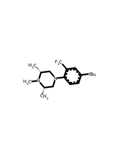 C[C@@H]1CN(c2ccc(C(C)(C)C)cc2C(F)(F)F)C[C@H](C)N1C